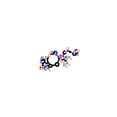 CCn1c(-c2cccnc2[C@H](C)OC)c2c3cc(ccc31)-c1cccc(c1)C[C@H](NC(=O)C(C(C)C)N(C)C(=O)[C@H]1CCN(C(=O)C#C[C@@H]3CC[C@@H]4COCCN43)C1)C(=O)N1CCC[C@H](N1)C(=O)OCC(C)(C)C2